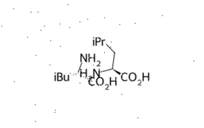 CC(C)C[C@H](N)C(=O)O.CC[C@@H](C)[C@H](N)C(=O)O